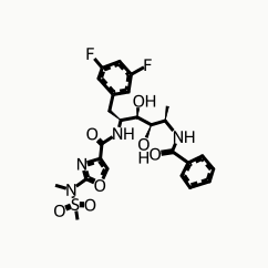 C[C@@H](NC(=O)c1ccccc1)[C@@H](O)[C@H](O)[C@H](Cc1cc(F)cc(F)c1)NC(=O)c1coc(N(C)S(C)(=O)=O)n1